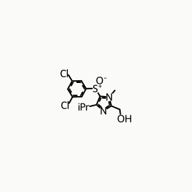 CC(C)c1nc(CO)n(C)c1[S+]([O-])c1cc(Cl)cc(Cl)c1